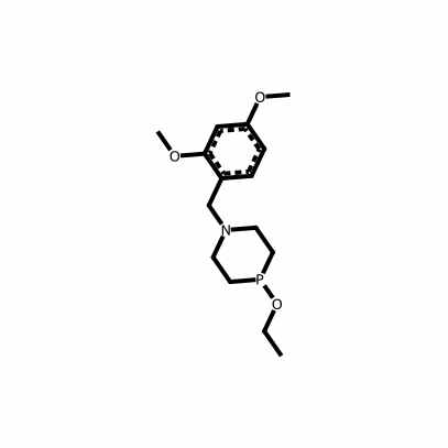 CCOP1CCN(Cc2ccc(OC)cc2OC)CC1